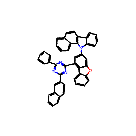 c1ccc(-c2nc(-c3ccc4ccccc4c3)nc(-c3cc(-n4c5ccccc5c5ccc6ccccc6c54)cc4oc5ccccc5c34)n2)cc1